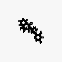 O=C(Nc1ncn(-c2ncc(F)cc2F)n1)c1ccccc1C(F)(F)F